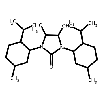 CC1CCC(C(C)C)C(N2C(=O)N(C3CC(C)CCC3C(C)C)C(O)C2O)C1